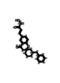 O=C(C=Cc1ccc2c(c1)C(=O)CC1(CCCN(Cc3ccccc3)C1)O2)NO